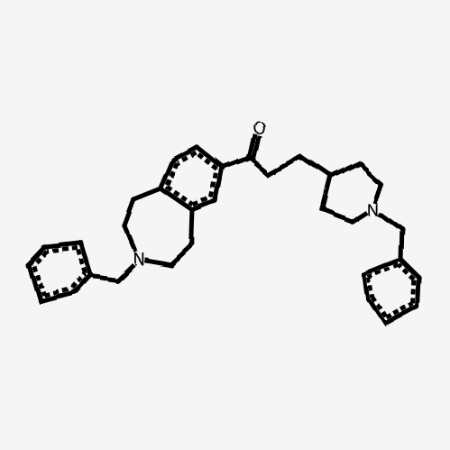 O=C(CCC1CCN(Cc2ccccc2)CC1)c1ccc2c(c1)CCN(Cc1ccccc1)CC2